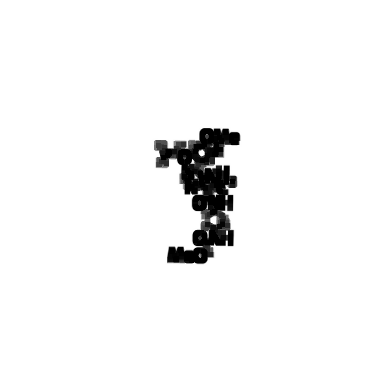 COCC(=O)N[C@H]1CC[C@@H](NC(=O)c2c(C)[nH]c3c(-c4cc(F)c(OC)cc4OCC4CC4)ncnc23)CC1